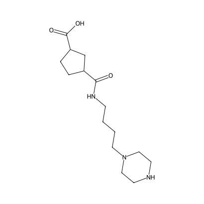 O=C(O)C1CCC(C(=O)NCCCCN2CCNCC2)C1